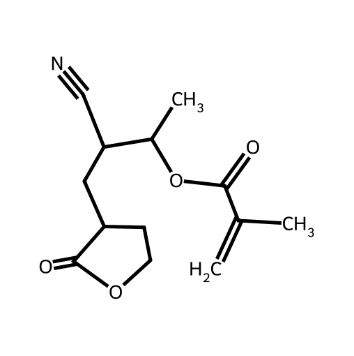 C=C(C)C(=O)OC(C)C(C#N)CC1CCOC1=O